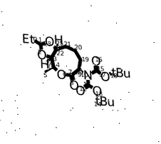 CCC1O[C@H]2[C@H](C)OC(=O)[C@@H](N(C(=O)OC(C)(C)C)C(=O)OC(C)(C)C)CCC[C@@H]2O1